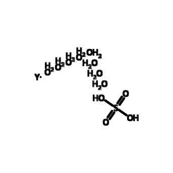 O.O.O.O.O.O.O.O.O=S(=O)(O)O.[Y]